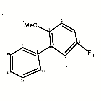 COc1ccc(F)cc1-c1cc[c]cc1